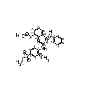 CCS(=O)(=O)c1ccc(Nc2nc(Nc3ccccc3)c3cccc(COC)c3n2)c(C)c1